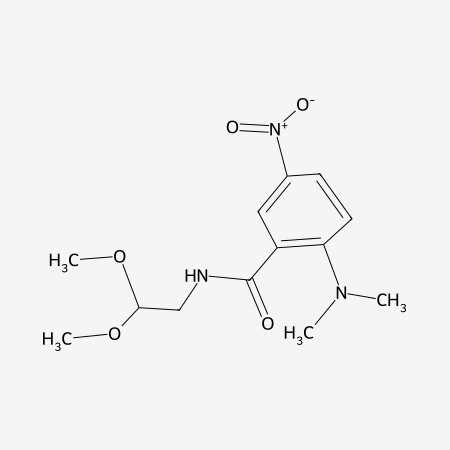 COC(CNC(=O)c1cc([N+](=O)[O-])ccc1N(C)C)OC